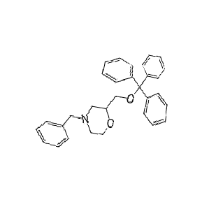 c1ccc(CN2CCOC(COC(c3ccccc3)(c3ccccc3)c3ccccc3)C2)cc1